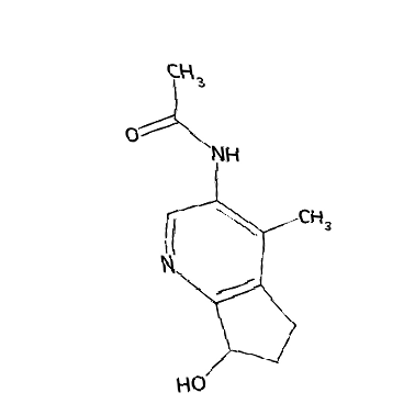 CC(=O)Nc1cnc2c(c1C)CCC2O